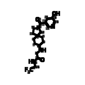 O=C(CNC1CCC2(CC1)CCN(C(=O)c1cncc(O)c1)C2)NCC(F)(F)F